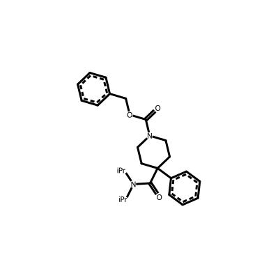 CC(C)N(C(=O)C1(c2ccccc2)CCN(C(=O)OCc2ccccc2)CC1)C(C)C